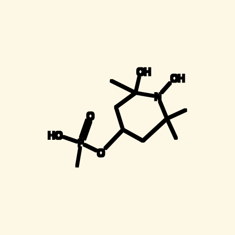 CC1(C)CC(OP(C)(=O)O)CC(C)(O)N1O